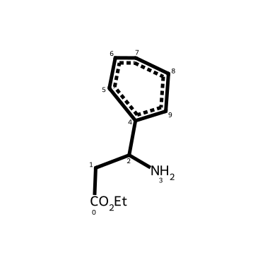 CCOC(=O)CC(N)c1ccccc1